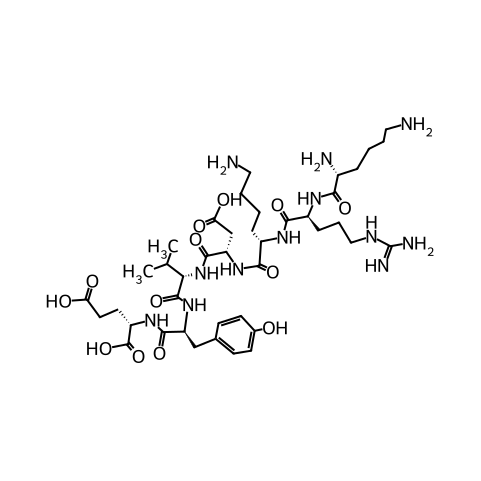 CC(C)[C@H](NC(=O)[C@H](CC(=O)O)NC(=O)[C@H](CCCCN)NC(=O)[C@H](CCCNC(=N)N)NC(=O)[C@H](N)CCCCN)C(=O)N[C@@H](Cc1ccc(O)cc1)C(=O)N[C@@H](CCC(=O)O)C(=O)O